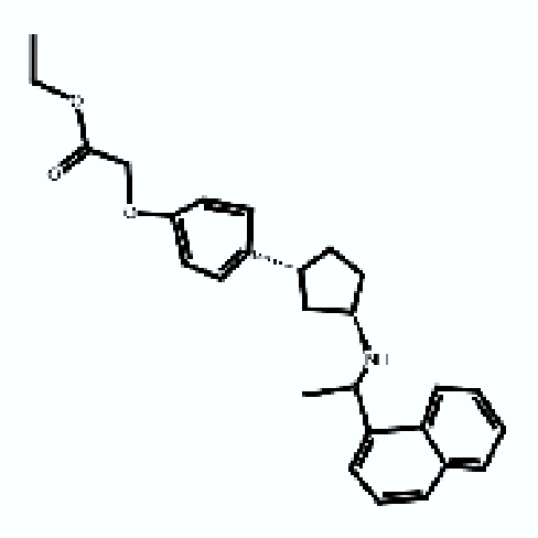 CCOC(=O)COc1ccc([C@@H]2CC[C@@H](NC(C)c3cccc4ccccc34)C2)cc1